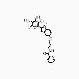 Cc1c(-c2cc3cc(OCCCNC(=O)c4ccccn4)ccc3o2)oc(=O)c(C)c1O